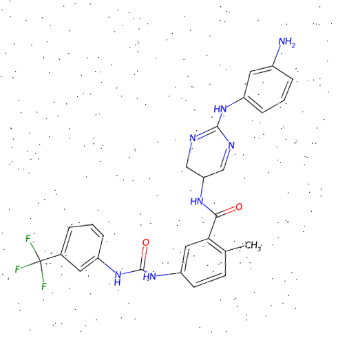 Cc1ccc(NC(=O)Nc2cccc(C(F)(F)F)c2)cc1C(=O)NC1C=NC(Nc2cccc(N)c2)=NC1